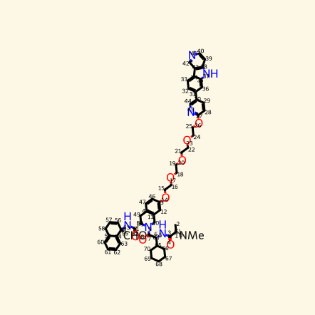 CN[C@@H](C)C(=O)N[C@H](C(=O)N1Cc2cc(OCCOCCOCCOCCOc3ccc(-c4ccc5c(c4)[nH]c4ccncc45)cn3)ccc2C[C@H]1C(=O)N[C@@]1(C=O)C=CCc2ccccc21)C1CCCCC1